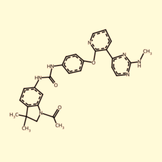 CNc1nccc(-c2cccnc2Oc2ccc(NC(=O)Nc3ccc4c(c3)N(C(C)=O)CC4(C)C)cc2)n1